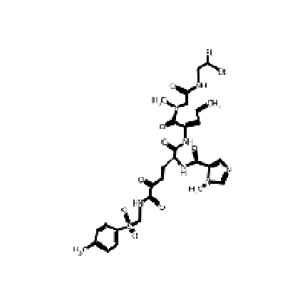 C=C/C=C(/NC(=O)[C@H](CCC(=O)C(=O)NCS(=O)(=O)c1ccc(C)cc1)NC(=O)c1cncn1C)C(=O)N(C)CC(=O)NCC(CC)CC